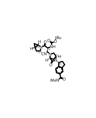 CNC(=O)c1ccc2c(c1)CC[C@H]2N1C(=O)[C@@H]2C[C@H]1CN2C[C@H](NC(=O)OC(C)(C)C)C(=O)N1[C@H](C#N)C[C@@H]2C[C@@H]21